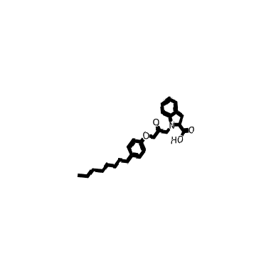 CCCCCCCCc1ccc(OCC(=O)CN2c3ccccc3CC2C(=O)O)cc1